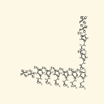 C=CC[n+]1ccn(CC)c1.C=CC[n+]1ccn(CC)c1.C=CC[n+]1ccn(CC)c1.C=CC[n+]1ccn(CC)c1.C=CC[n+]1ccn(CC)c1.C=CC[n+]1ccn(CC)c1.C=CC[n+]1ccn(CC)c1.C=CC[n+]1ccn(CC)c1.O=P([O-])([O-])F.O=P([O-])([O-])F.O=P([O-])([O-])F.O=P([O-])([O-])F